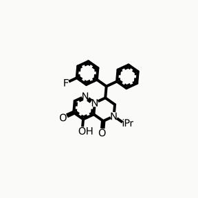 CC(C)N1CC(C(c2ccccc2)c2cccc(F)c2)n2ncc(=O)c(O)c2C1=O